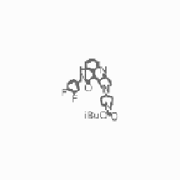 CC(C)COC(=O)N1CCC(N2CCc3nc4ccccc4c(C(=O)Nc4ccc(F)c(F)c4)c3C2)CC1